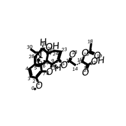 COc1ccc2c3c1O[C@@H]1C(OC(=O)C[C@H](OC(C)=O)C(=O)O)=CC[C@]4(O)[C@H](C2)N(C)CC[C@@]314